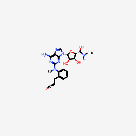 CCN(c1nc(N)c2ncn([C@@H]3O[C@H](C(O)N(C=O)CC)[C@@H](O)[C@H]3O)c2n1)c1ccccc1CC=C=O